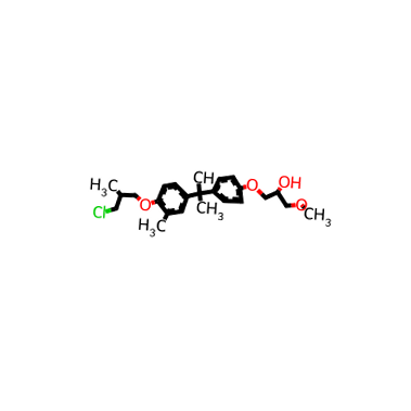 COCC(O)COc1ccc(C(C)(C)c2ccc(OCC(C)CCl)c(C)c2)cc1